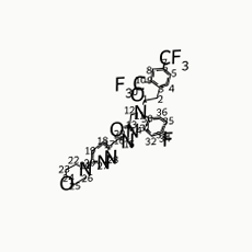 O=C(Cc1ccc(C(F)(F)F)cc1C(F)(F)F)N(Cc1nnc(-c2ccc(N3CCOCC3)nn2)o1)c1ccc(F)cc1